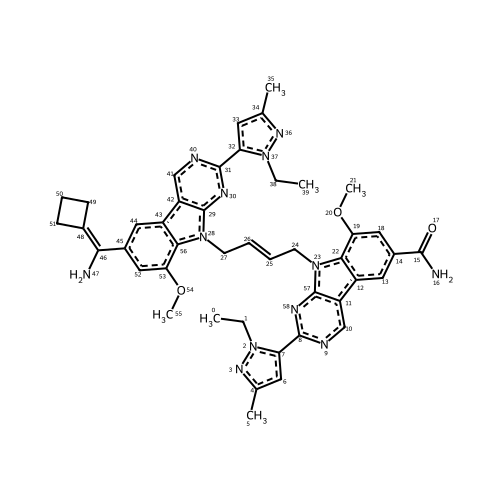 CCn1nc(C)cc1-c1ncc2c3cc(C(N)=O)cc(OC)c3n(C/C=C/Cn3c4nc(-c5cc(C)nn5CC)ncc4c4cc(C(N)=C5CCC5)cc(OC)c43)c2n1